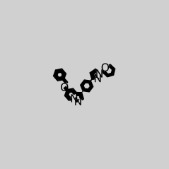 c1ccc(COc2ccn3ncc([C@H]4CC[C@H](c5ccn(C6CCCCO6)n5)CC4)c3c2)cc1